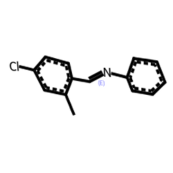 Cc1cc(Cl)ccc1/C=N/c1ccccc1